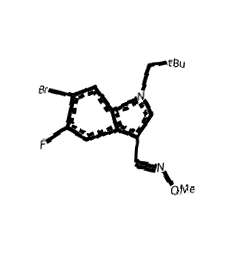 CO/N=C/c1cn(CC(C)(C)C)c2cc(Br)c(F)cc12